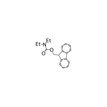 CCN(CC)C(=O)OCC1c2ccccc2-c2ccccc21